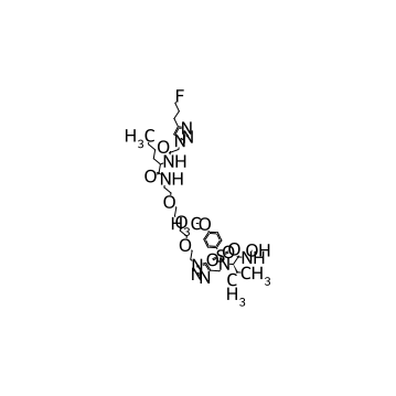 CCCCC(NC(=O)Cn1cc(CCCF)nn1)C(=O)NCCOCCOCCOCCn1cc(CN([C@@H](C(=O)NO)C(C)C)S(=O)(=O)c2ccc(OC)cc2)nn1